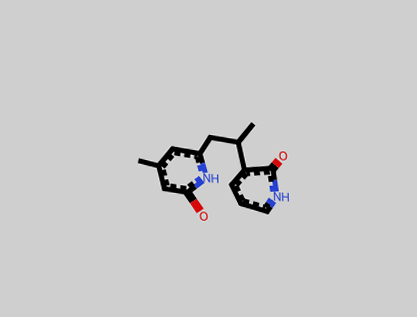 Cc1cc(CC(C)c2ccc[nH]c2=O)[nH]c(=O)c1